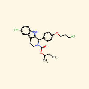 CCC(C)OC(=O)N1CCc2c([nH]c3ccc(Cl)cc23)C1c1ccc(OCCCCl)cc1